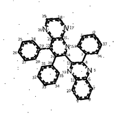 c1ccc(-c2nc3ccccc3nc2-c2nc3nccnc3c(-c3ccccc3)c2-c2ccccc2)cc1